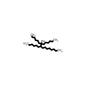 CCCCCCCCC(CCCCCC)C(P)(CCCCCC)CCCCCC